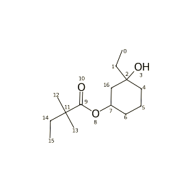 CCC1(O)CCCC(OC(=O)C(C)(C)CC)C1